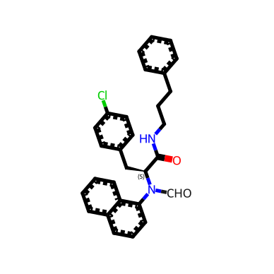 O=CN(c1cccc2ccccc12)[C@@H](Cc1ccc(Cl)cc1)C(=O)NCCCc1ccccc1